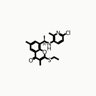 CCSc1oc2c([C@@H](C)Nc3ccc(Cl)nc3C)cc(C)cc2c(=O)c1C